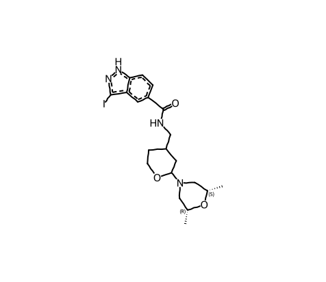 C[C@@H]1CN(C2CC(CNC(=O)c3ccc4[nH]nc(I)c4c3)CCO2)C[C@H](C)O1